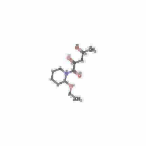 CCOC1CCCCN1C(=O)C(=O)CC(C)=O